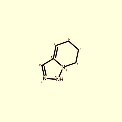 [C]1=NNN2CCCC=C12